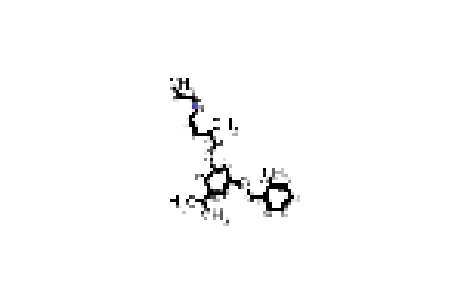 C=C(/C=C\C=C/CC)COC1=CC(OCc2ccccc2C)=CC(C(C)C)C1